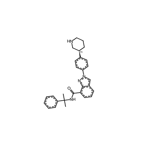 CC(C)(NC(=O)c1cccc2cn(-c3ccc([C@@H]4CCCNC4)cc3)nc12)c1ccccc1